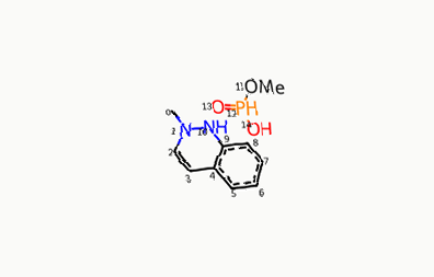 CN1C=Cc2ccccc2N1.CO[PH](=O)O